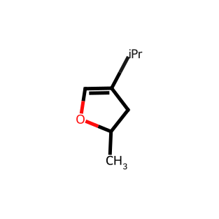 CC1CC(C(C)C)=CO1